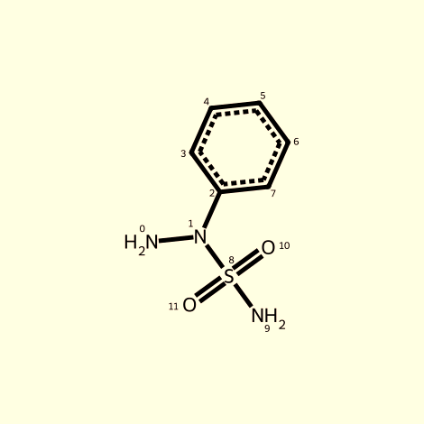 NN(c1ccccc1)S(N)(=O)=O